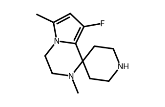 Cc1cc(F)c2n1CCN(C)C21CCNCC1